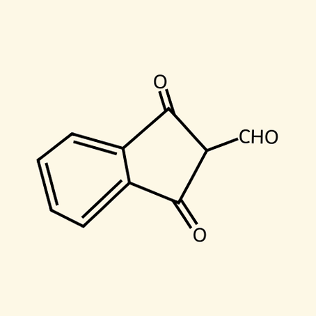 O=CC1C(=O)c2ccccc2C1=O